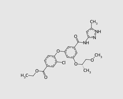 CCOC(=O)c1ccc(Oc2cc(O[C@@H](C)COC)cc(C(=O)Nc3cc(C)[nH]n3)c2)c(Cl)c1